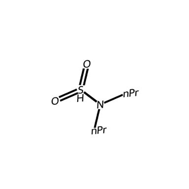 CCCN(CCC)[SH](=O)=O